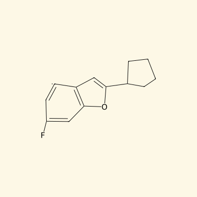 Fc1c[c]c2cc(C3CCCC3)oc2c1